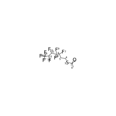 CC(=O)SCCC(F)C(F)(F)C(F)C(F)C(F)(F)F